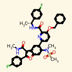 CNC(=O)c1c(-c2ccc(F)cc2)oc2cc(N(C)S(C)(=O)=O)c(-c3ccc(OCc4ccccc4)c(C(=O)N[C@H](C)c4ccc(F)cc4)n3)cc12